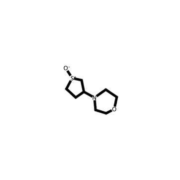 [O-][S+]1CC[C](N2CCOCC2)C1